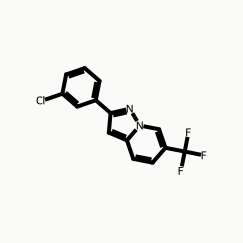 FC(F)(F)c1ccc2cc(-c3cccc(Cl)c3)nn2c1